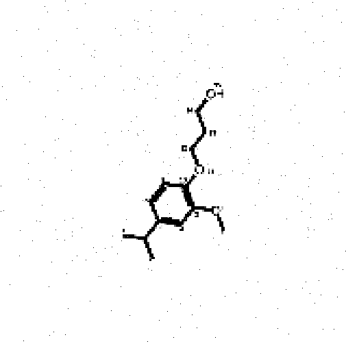 COc1cc(C(C)C)ccc1OCCCO